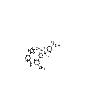 Cc1cc(Nc2cc(-c3nnc(C)o3)ccn2)nc(-c2cnc([C@@]3(O)CCCc4cc(C(=O)O)ccc43)s2)c1